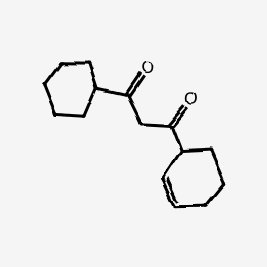 O=C(CC(=O)C1CCCCC1)C1C=CCCC1